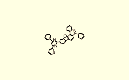 c1ccc(-c2cc(-c3ccccc3)nc(-c3ccc4c(c3)oc3c4ccc4c(-c5ccccc5)nc5ccccc5c43)n2)cc1